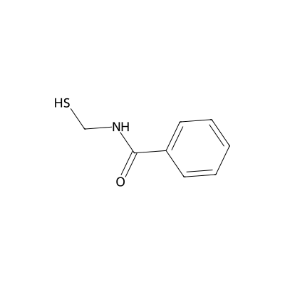 O=C(NCS)c1ccccc1